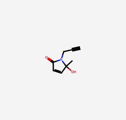 C#CCN1C(=O)C=CC1(C)O